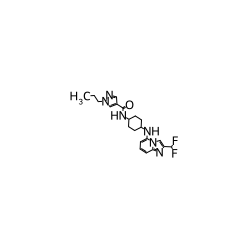 CCCn1cc(C(=O)NC2CCC(Nc3cccc4nc(C(F)F)cn34)CC2)cn1